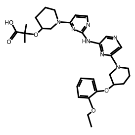 CCOc1ccccc1OC1CCCN(c2cncc(Nc3nccc(N4CCCC(OC(C)(C)C(=O)O)C4)n3)n2)C1